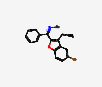 C=Cc1c(/C(=N\C(C)=O)c2ccccc2)oc2ccc(Br)cc12